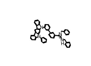 c1ccc(CNN2C(c3cccc(-c4cccc(-n5c6ccccc6c6cc7c8ccccc8n(-c8ccccc8)c7cc65)c4)c3)[N@@]2Cc2ccccc2)cc1